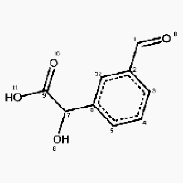 O=Cc1cccc(C(O)C(=O)O)c1